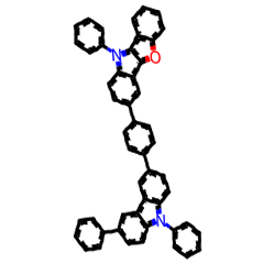 c1ccc(-c2ccc3c(c2)c2cc(-c4ccc(-c5ccc6c(c5)c5oc7ccccc7c5n6-c5ccccc5)cc4)ccc2n3-c2ccccc2)cc1